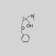 CN(C)CC1(CO)CC1COCc1ccccc1